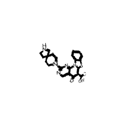 O=C(O)c1c(=O)c2cnc(N3CCC4(CCNC4)CC3)nc2n2c1sc1ccccc12